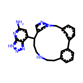 Nc1cc(C2CCNCCc3cccc(c3)-c3cccc(c3)Cn3cc2cn3)c2nn[nH]c2n1